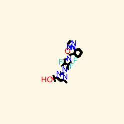 Cc1cc(C(C)(C)O)nc(N2C[C@]3(F)CN(C(=O)c4c(F)cccc4-n4nccn4)C[C@]3(F)C2)n1